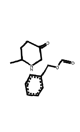 CC1CCC(=O)CN1.O=COCc1ccccc1